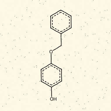 Oc1[c]cc(OCc2ccccc2)cc1